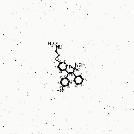 CNCCOc1ccc(C(=C(c2ccccc2)C(F)(F)F)c2ccc(O)cc2)cc1.Cl